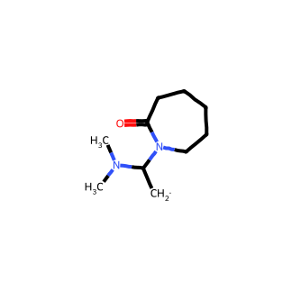 [CH2]C(N(C)C)N1CCCCCC1=O